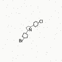 Clc1ccc(C2=NC(c3ccc(Br)cc3)CC2)cc1